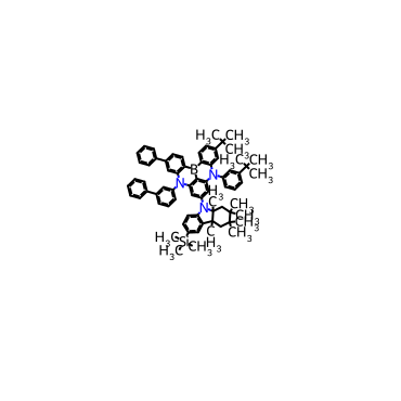 CC(C)(C)c1cccc(N2c3cc(C(C)(C)C)ccc3B3c4ccc(-c5ccccc5)cc4N(c4cccc(-c5ccccc5)c4)c4cc(N5c6ccc([Si](C)(C)C)cc6C6(C)CC(C)(C)C(C)(C)CC56C)cc2c43)c1